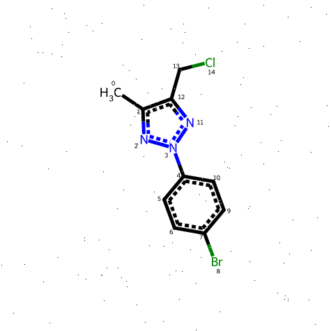 Cc1nn(-c2ccc(Br)cc2)nc1CCl